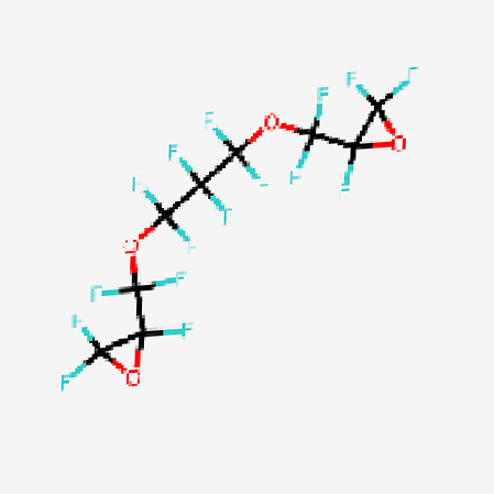 FC(F)(OC(F)(F)C1(F)OC1(F)F)C(F)(F)C(F)(F)OC(F)(F)C1(F)OC1(F)F